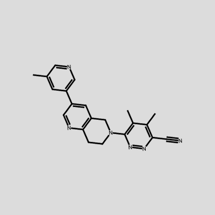 Cc1cncc(-c2cnc3c(c2)CN(c2nnc(C#N)c(C)c2C)CC3)c1